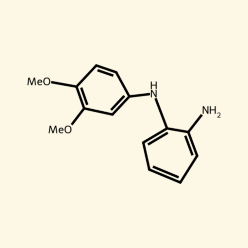 COc1ccc(Nc2ccccc2N)cc1OC